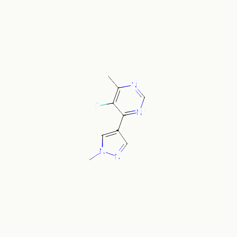 Cc1ncnc(-c2cnn(C)c2)c1F